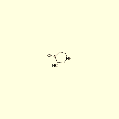 Cl.ClN1CCNCC1